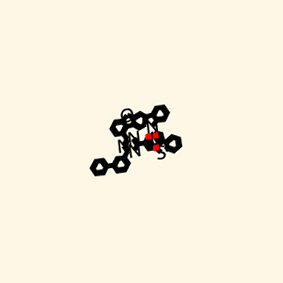 c1ccc(-c2cccc(-c3nc(-c4ccc5c(c4)sc4ccccc45)nc(-c4cccc5oc6cc7c8ccccc8n(-c8ccccc8)c7cc6c45)n3)c2)cc1